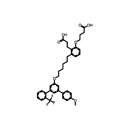 COc1ccc(-c2cc(OCCCCCCc3cccc(OCCCC(=O)O)c3CCC(=O)O)cc(-c3ccccc3C(F)(F)F)c2)cc1